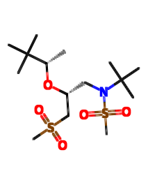 C[C@H](O[C@H](CN(C(C)(C)C)S(C)(=O)=O)CS(C)(=O)=O)C(C)(C)C